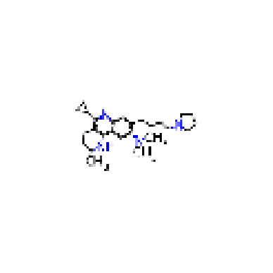 CC1CCc2c(C3CC3)nc3cc(CCCCN4CCCC4)c(N(C)C)cc3c2N1